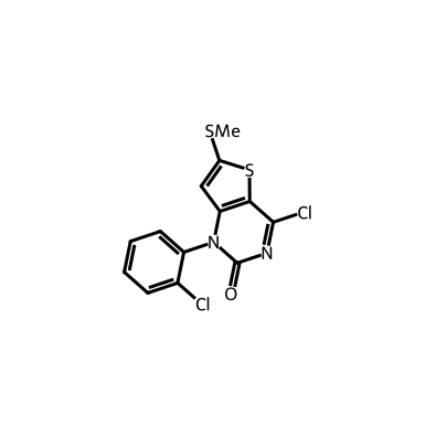 CSc1cc2c(s1)c(Cl)nc(=O)n2-c1ccccc1Cl